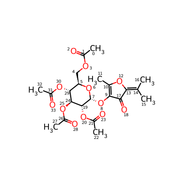 CC(=O)OC[C@H]1O[C@H](OC2=C(C)OC(=C(C)C)C2=O)[C@H](OC(C)=O)[C@@H](OC(C)=O)[C@@H]1OC(C)=O